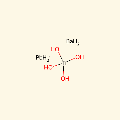 [BaH2].[OH][Ti]([OH])([OH])[OH].[PbH2]